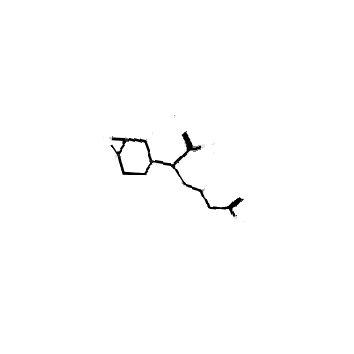 O=C(O)CCCC(C(=O)O)C1CCC2OC2C1